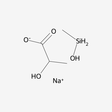 CC(O)C(=O)[O-].C[SiH2]O.[Na+]